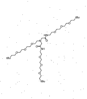 CC(C)(C)CCOCCOCCOCCNC(=O)CN(CCOCCOCCOCCC(C)(C)C)CC(=O)NCCOCCOCCOCCC(C)(C)C